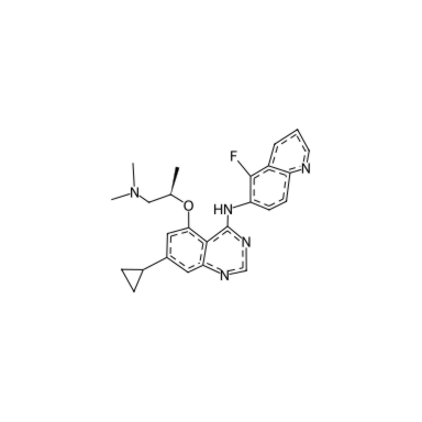 C[C@H](CN(C)C)Oc1cc(C2CC2)cc2ncnc(Nc3ccc4ncccc4c3F)c12